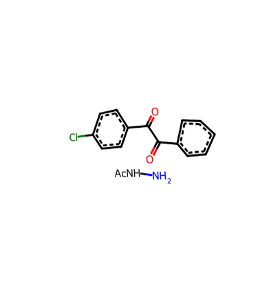 CC(=O)NN.O=C(C(=O)c1ccc(Cl)cc1)c1ccccc1